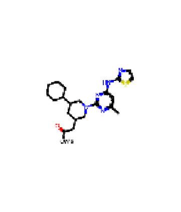 COC(=O)CC1CC(C2CCCCC2)CN(c2nc(C)cc(Nc3nccs3)n2)C1